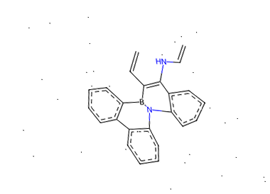 C=CNC1=C(C=C)B2c3ccccc3-c3ccccc3N2c2ccccc21